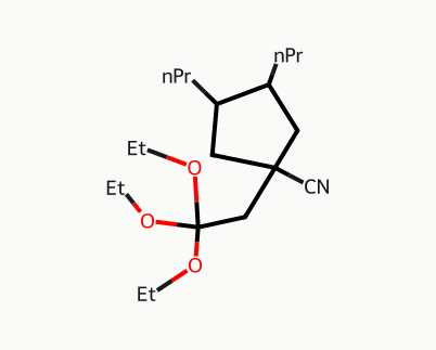 CCCC1CC(C#N)(CC(OCC)(OCC)OCC)CC1CCC